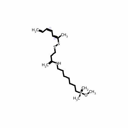 C=C/C=C\C=C(/C)SSCCC(=C)NCCCCCCCP(=C)(C)OC